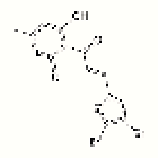 Cc1cc(O)c(C(=O)C=Cc2cc(Br)c(Br)s2)c(=O)o1